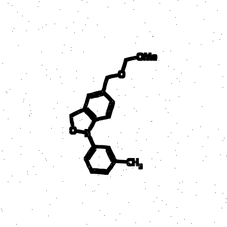 COCOCc1ccc2c(c1)COB2c1cccc(C)c1